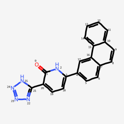 O=c1[nH]c(-c2ccc3ccc4ccccc4c3c2)ccc1-c1nnn[nH]1